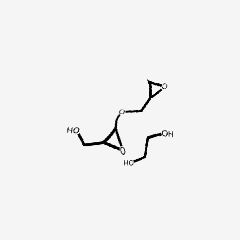 OCC1OC1OCC1CO1.OCCO